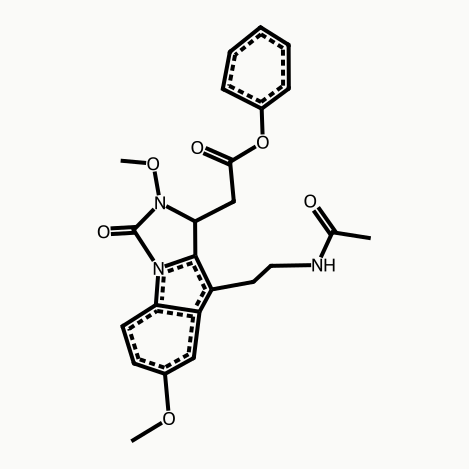 COc1ccc2c(c1)c(CCNC(C)=O)c1n2C(=O)N(OC)C1CC(=O)Oc1ccccc1